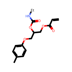 C=CC(=O)OCC(COc1ccc(C)cc1)OC(=O)NCC